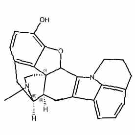 CN1CC[C@]23c4c5ccc(O)c4OC2c2c(c4cccc6c4n2CCC6)C[C@H]3[C@H]1C5